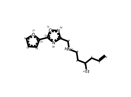 C=CCC(CC)CCNCc1noc(-c2ccco2)n1